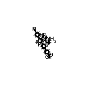 CC(C)(F)C[C@@H](C(N)=O)N(C(C#N)Cc1ccc(C#N)cc1F)[C@@H](c1ccc(-c2ccc(S(C)(=O)=O)cc2)cc1)C(F)(F)F